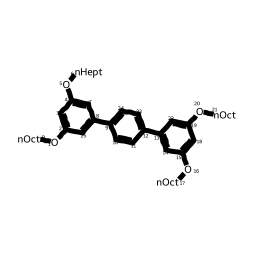 CCCCCCCCOc1cc(OCCCCCCC)cc(-c2ccc(-c3cc(OCCCCCCCC)cc(OCCCCCCCC)c3)cc2)c1